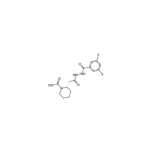 O=C(C[C@@H]1CCCCN1C(=O)O)NNC(=O)c1cc(F)cc(F)c1